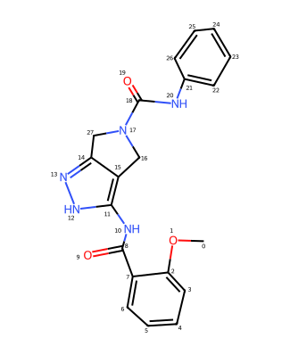 COc1ccccc1C(=O)Nc1[nH]nc2c1CN(C(=O)Nc1ccccc1)C2